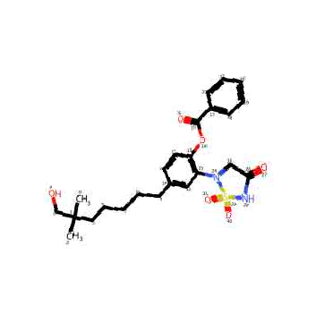 CC(C)(CO)CCCCCc1ccc(OC(=O)c2ccccc2)c(N2CC(=O)NS2(=O)=O)c1